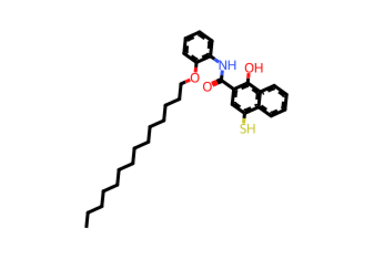 CCCCCCCCCCCCCCOc1ccccc1NC(=O)c1cc(S)c2ccccc2c1O